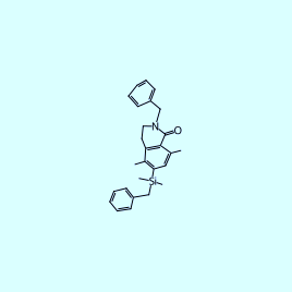 Cc1cc([Si](C)(C)Cc2ccccc2)c(C)c2c1C(=O)N(Cc1ccccc1)CC2